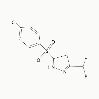 O=S(=O)(c1ccc(Cl)cc1)C1CC(C(F)F)=NN1